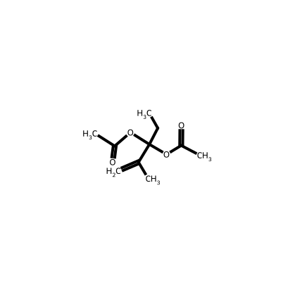 C=C(C)C(CC)(OC(C)=O)OC(C)=O